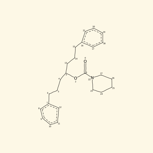 O=C(OC(CCCc1ccccc1)CCCc1ccccc1)N1CCCCC1